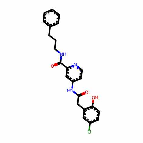 O=C(Cc1cc(Cl)ccc1O)Nc1ccnc(C(=O)NCCCc2ccccc2)c1